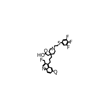 COc1ccc2ncc(CF)c(CCCC3(CC(=O)O)CCN(CCSc4cc(F)c(F)c(F)c4)CC3)c2c1